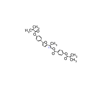 C=C(C)C(=O)Oc1ccc(C(=O)O/C=C(\C)c2ccc(-c3ccc(OC(=O)C(=C)C)cc3)o2)cc1